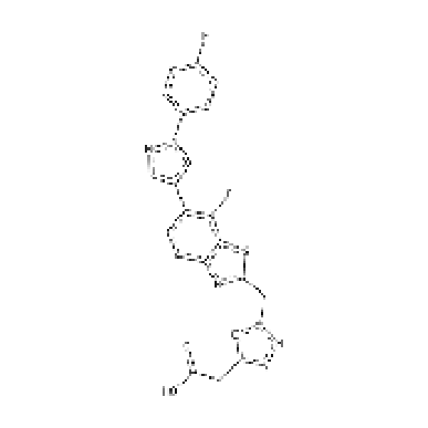 O=C(O)Cc1nnc(Cc2nc3ccc(-c4cnn(-c5ccc(F)cc5)c4)c(F)c3s2)o1